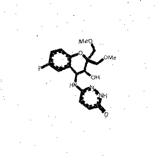 COCC1(COC)Oc2ccc(F)cc2C(Nc2ccc(=O)[nH]n2)C1O